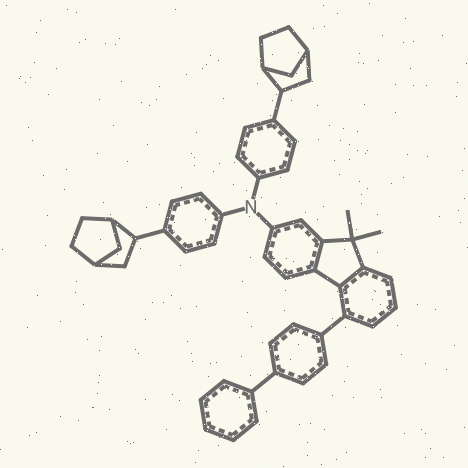 CC1(C)c2cc(N(c3ccc(C4CC5CCC4C5)cc3)c3ccc(C4CC5CCC4C5)cc3)ccc2-c2c(-c3ccc(-c4ccccc4)cc3)cccc21